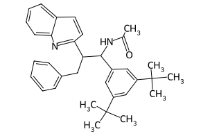 CC(=O)NC(c1cc(C(C)(C)C)cc(C(C)(C)C)c1)C(Cc1ccccc1)c1ccc2ccccc2n1